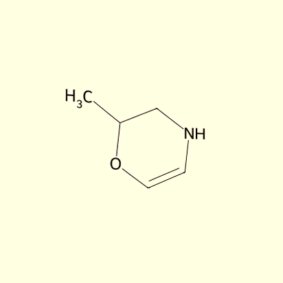 CC1CNC=CO1